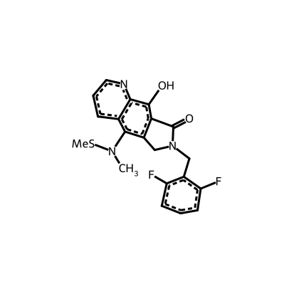 CSN(C)c1c2c(c(O)c3ncccc13)C(=O)N(Cc1c(F)cccc1F)C2